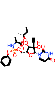 C#C[C@@]1(O)[C@H](O)[C@@H](COP(=O)(NC(C)C(=O)O[C@H](C)CC)Oc2ccccc2)O[C@H]1n1ccc(=O)[nH]c1=O